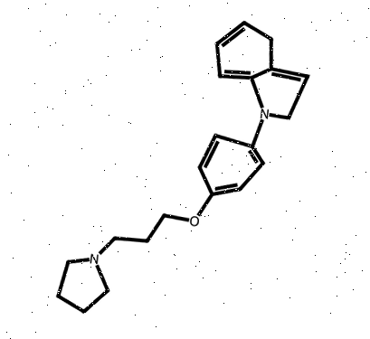 C1=CCC2=CCN(c3ccc(OCCCN4CCCC4)cc3)C2=C1